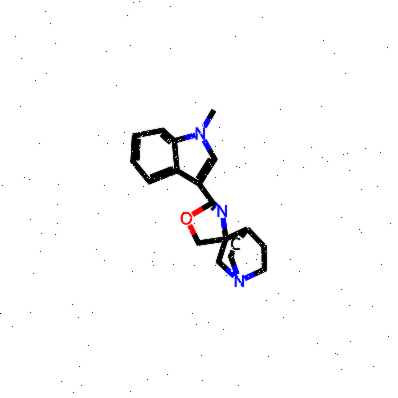 Cn1cc(C2=NC3(CO2)CN2CCC3CC2)c2ccccc21